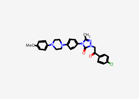 COc1ccc(N2CCN(c3ccc(-n4c(C)nn(CC(=O)c5ccc(Cl)cc5)c4=O)cc3)CC2)cc1